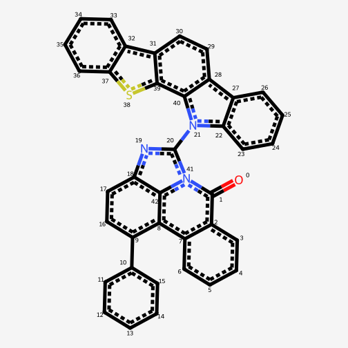 O=c1c2ccccc2c2c(-c3ccccc3)ccc3nc(-n4c5ccccc5c5ccc6c7ccccc7sc6c54)n1c32